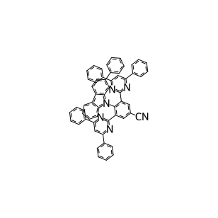 N#Cc1cc(-c2nc(-c3ccccc3)cc(-c3ccccc3)n2)c(-n2c3ccccc3c3ccc(-c4ccccc4)cc32)c(-c2nc(-c3ccccc3)cc(-c3ccccc3)n2)c1